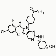 NC(=O)C1CCC(n2c(Nc3c(F)cc(Cl)cc3Cl)nc3cnc(N[C@H]4CCC[C@@H](O)C4)nc32)CC1